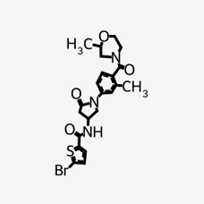 Cc1cc(N2CC(NC(=O)c3ccc(Br)s3)CC2=O)ccc1C(=O)N1CCOC(C)C1